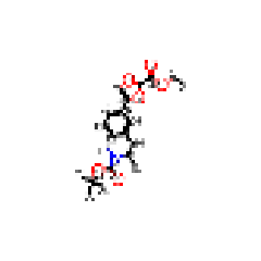 CCOC(=O)C1OC=C(c2cccc(CC(C)N(C)C(=O)OC(C)(C)C)c2)O1